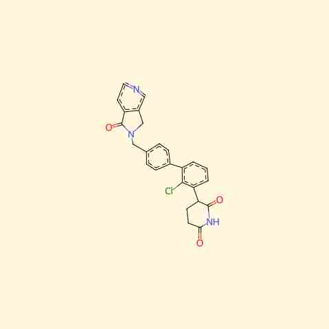 O=C1CCC(c2cccc(-c3ccc(CN4Cc5cnccc5C4=O)cc3)c2Cl)C(=O)N1